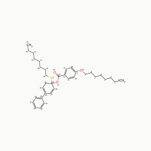 CCCCCCCCOc1ccc(C(=O)OC2(SCCCCCCCC)C=CC(c3ccccc3)=CC2)cc1